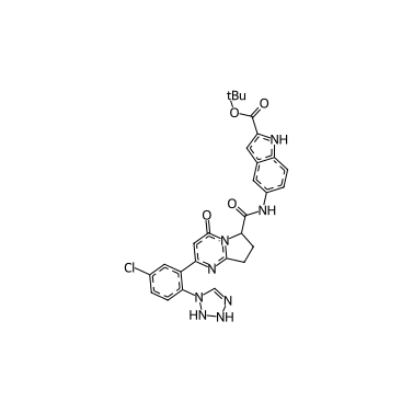 CC(C)(C)OC(=O)c1cc2cc(NC(=O)C3CCc4nc(-c5cc(Cl)ccc5N5C=NNN5)cc(=O)n43)ccc2[nH]1